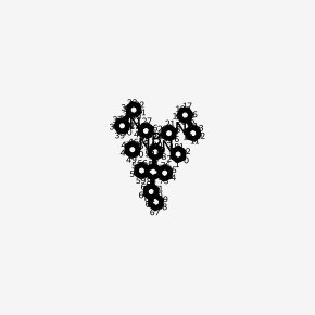 c1ccc(N2c3cc(-n4c5ccccc5c5ccccc54)ccc3B3c4ccc(-n5c6ccccc6c6ccccc65)cc4N(c4ccccc4)c4cc(-c5c6ccccc6c(-c6ccc7ccccc7c6)c6ccccc56)cc2c43)cc1